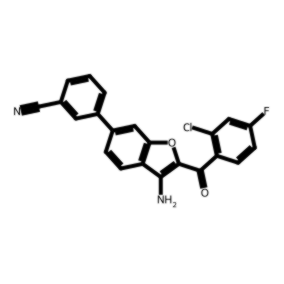 N#Cc1cccc(-c2ccc3c(N)c(C(=O)c4ccc(F)cc4Cl)oc3c2)c1